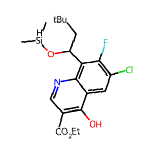 CCOC(=O)c1cnc2c(C(CC(C)(C)C)O[SiH](C)C)c(F)c(Cl)cc2c1O